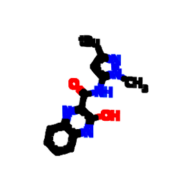 Cn1nc(C(C)(C)C)cc1NC(=O)c1nc2ccccc2nc1O